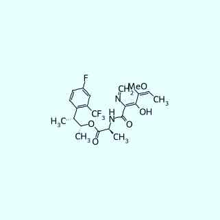 C=N/C(C(=O)N[C@@H](C)C(=O)O[C@H](C)[C@H](C)c1ccc(F)cc1C(F)(F)F)=C(O)\C(=C/C)OC